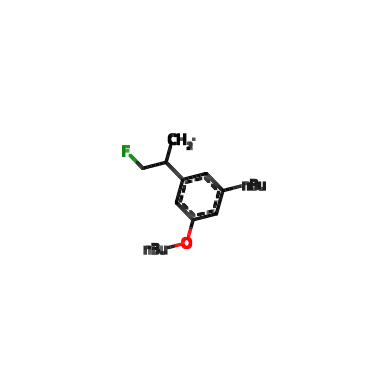 [CH2]C(CF)c1cc(CCCC)cc(OCCCC)c1